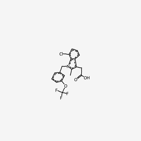 Cc1c(CC(=O)O)c2cccc(Cl)c2n1Cc1cccc(OC(F)(F)F)c1